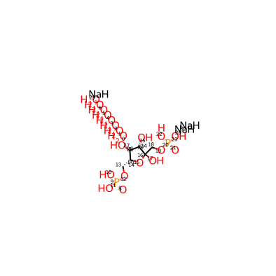 O.O.O.O.O.O.O.O.O=P(O)(O)OC[C@H]1OC(O)(COP(=O)(O)O)[C@@H](O)[C@@H]1O.[NaH].[NaH].[NaH]